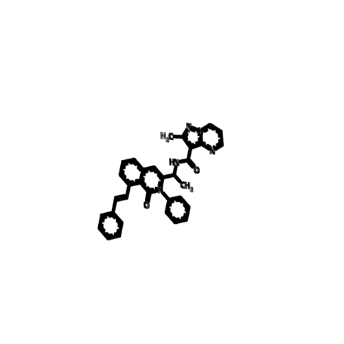 Cc1nn2cccnc2c1C(=O)NC(C)c1cc2cccc(/C=C/c3ccccc3)c2c(=O)n1-c1ccccc1